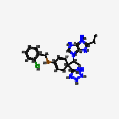 CCc1nc2c(ncn2C(C)C2(c3nnn[nH]3)C=CC(SCc3ccccc3Cl)=CC2)[nH]1